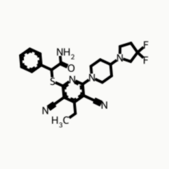 CCc1c(C#N)c(SC(C(N)=O)c2ccccc2)nc(N2CCC(N3CCC(F)(F)C3)CC2)c1C#N